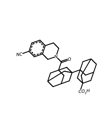 N#Cc1ccc2c(c1)CN(C(=O)C13CC4CC(C1)CC(C15CC6CC(CC(C(=O)O)(C6)C1)C5)(C4)C3)CC2